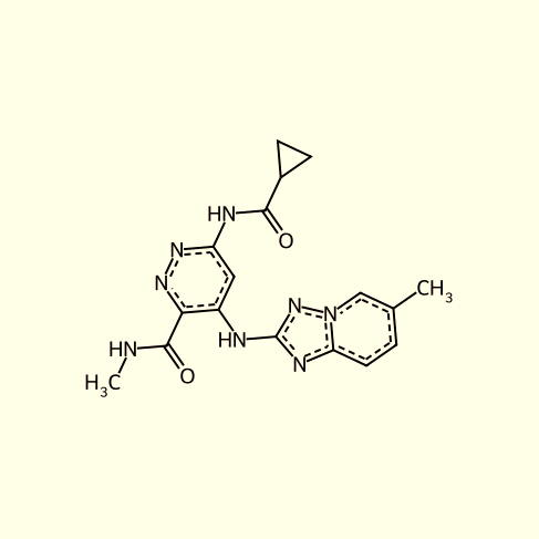 CNC(=O)c1nnc(NC(=O)C2CC2)cc1Nc1nc2ccc(C)cn2n1